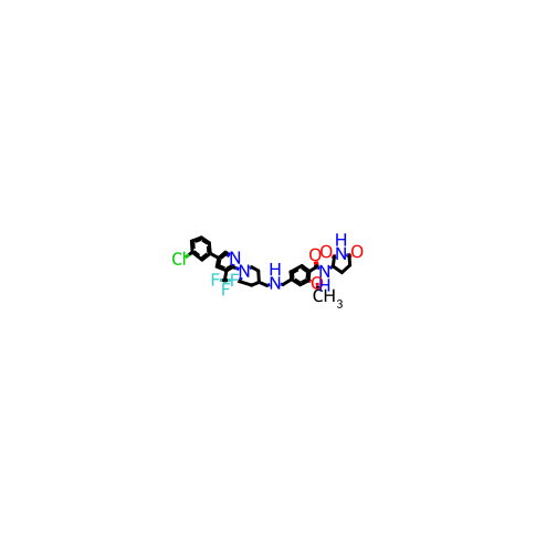 COc1cc(CNCC2CCN(c3ncc(-c4cccc(Cl)c4)cc3C(F)(F)F)CC2)ccc1C(=O)NC1CCC(=O)NC1=O